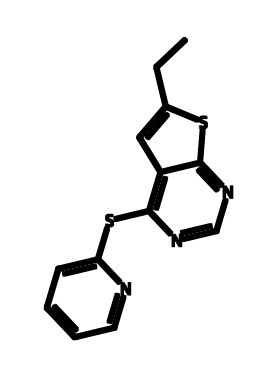 CCc1cc2c(Sc3ccccn3)ncnc2s1